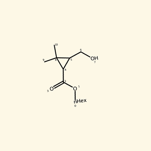 CCCCCCOC(=O)C1C(CO)C1(C)C